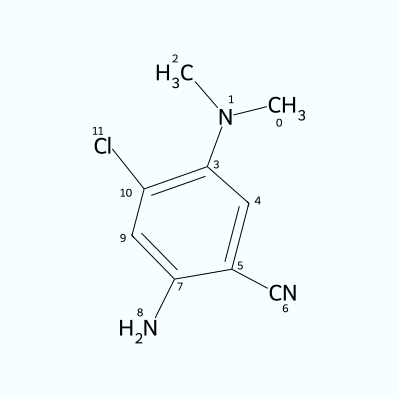 CN(C)c1cc(C#N)c(N)cc1Cl